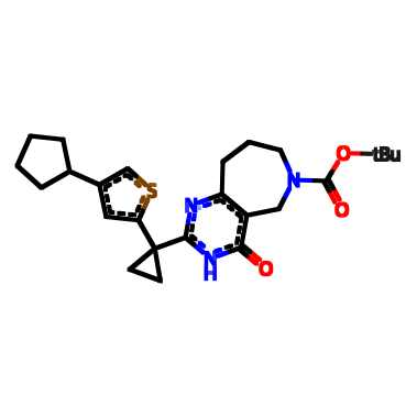 CC(C)(C)OC(=O)N1CCCc2nc(C3(c4cc(C5CCCC5)cs4)CC3)[nH]c(=O)c2C1